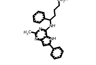 Cc1nc(NC(CCCC(=O)O)c2ccccc2)c2[nH]c(-c3ccccc3)cc2n1